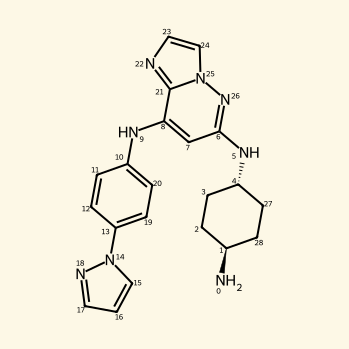 N[C@H]1CC[C@H](Nc2cc(Nc3ccc(-n4cccn4)cc3)c3nccn3n2)CC1